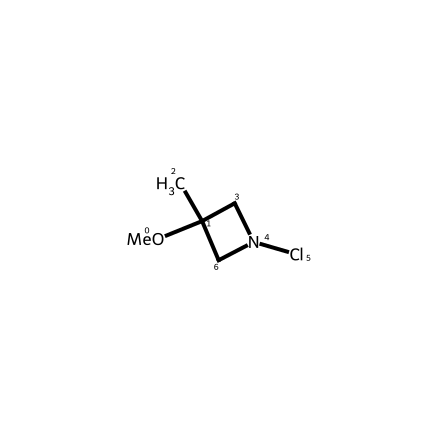 COC1(C)CN(Cl)C1